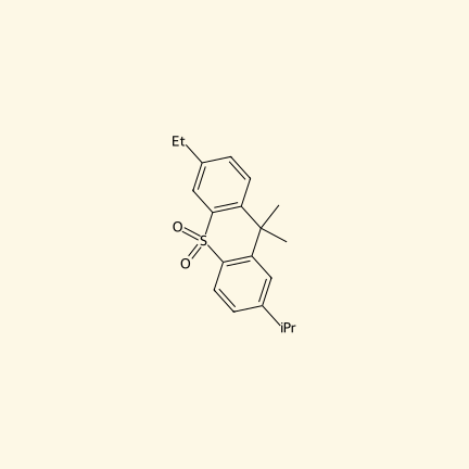 CCc1ccc2c(c1)S(=O)(=O)c1ccc(C(C)C)cc1C2(C)C